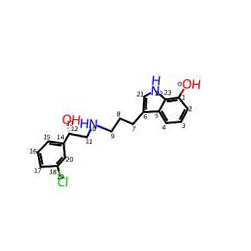 Oc1cccc2c(CCCNC[C@@H](O)c3cccc(Cl)c3)c[nH]c12